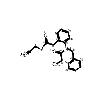 C#CCOC(=O)Cc1ccccc1N(Cc1ccccc1)C(=O)CCl